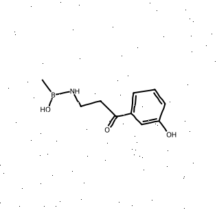 CB(O)NCCC(=O)c1cccc(O)c1